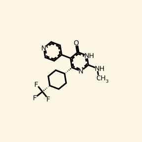 CNc1nc([C@H]2CC[C@@H](C(F)(F)F)CC2)c(-c2ccncc2)c(=O)[nH]1